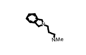 CNCCCN1Cc2ccccc2C1